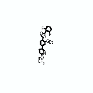 CCOc1cc(-c2ccc(OCC(F)(F)F)nc2)ccc1C1COC(c2c(F)cccc2F)=N1